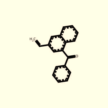 C=Cc1cc(C(=O)c2ccccc2)c2ccccc2c1